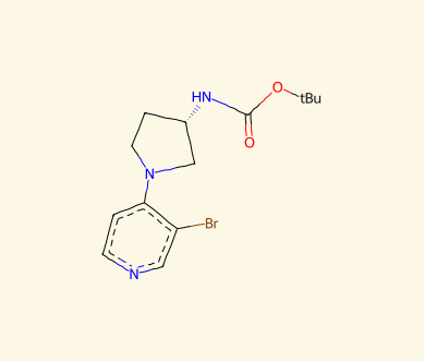 CC(C)(C)OC(=O)N[C@H]1CCN(c2ccncc2Br)C1